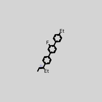 C/C=C(\CC)c1ccc(-c2ccc(-c3ccc(CC)cc3)c(F)c2)cc1